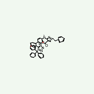 CCOC(=O)c1cn(CCc2ccccc2)nc1N(C)c1ccc(-c2ccccc2-c2nnnn2C(c2ccccc2)(c2ccccc2)c2ccccc2)cc1